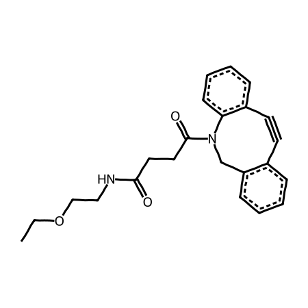 CCOCCNC(=O)CCC(=O)N1Cc2ccccc2C#Cc2ccccc21